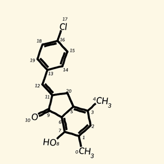 Cc1cc(C)c2c(c1O)C(=O)/C(=C/c1ccc(Cl)cc1)C2